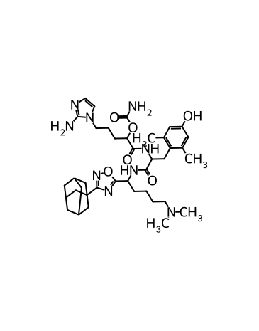 Cc1cc(O)cc(C)c1CC(NC(=O)C(CCCn1ccnc1N)OC(N)=O)C(=O)NC(CCCCN(C)C)c1nc(C23CC4CC(CC(C4)C2)C3)no1